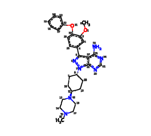 COc1cc(-c2nn([C@H]3CC[C@H](N4CCN(C)CC4)CC3)c3ncnc(N)c23)ccc1Oc1ccccc1